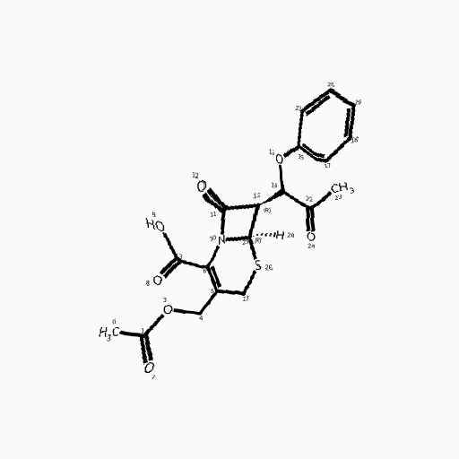 CC(=O)OCC1=C(C(=O)O)N2C(=O)[C@@H](C(Oc3ccccc3)C(C)=O)[C@H]2SC1